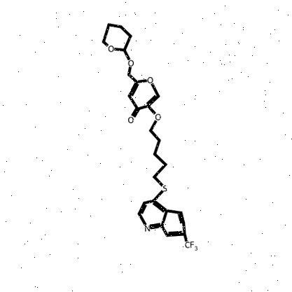 O=c1cc(COC2CCCCO2)occ1OCCCCCSc1ccnc2cc(C(F)(F)F)ccc12